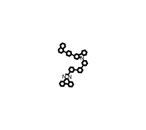 c1cc(-c2cccc(-c3cnc4c5ccccc5c5ccccc5c4n3)c2)cc(-c2cccc(-n3c4ccccc4c4cc(-c5ccc(-c6cccc7ccccc67)cc5)ccc43)c2)c1